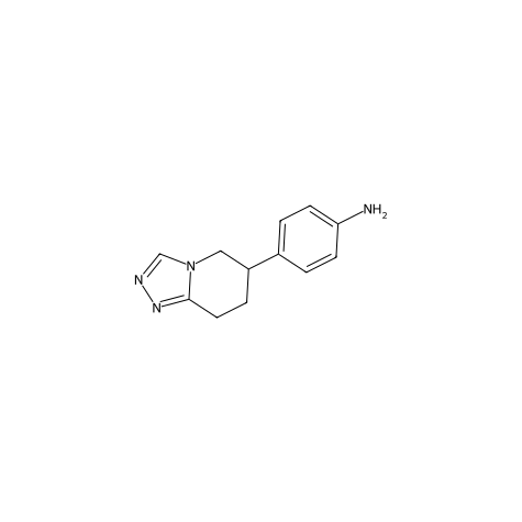 Nc1ccc(C2CCc3nncn3C2)cc1